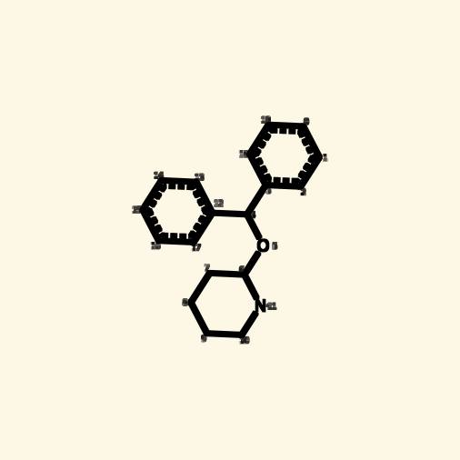 c1ccc(C(OC2CCCC[N]2)c2ccccc2)cc1